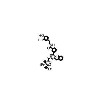 CCNC(=O)[C@@H](NC(=O)[C@H](C)NC[C@H](Cc1ccccc1)NC(=O)c1cccc(C(=O)NCCc2ccc(O)c(O)c2)c1)C(C)C